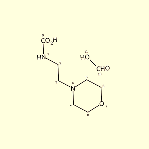 O=C(O)NCCN1CCOCC1.O=CO